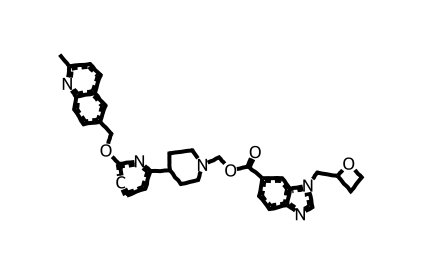 Cc1ccc2cc(COc3cccc(C4CCN(COC(=O)c5ccc6ncn(CC7CCO7)c6c5)CC4)n3)ccc2n1